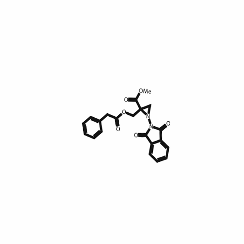 COC(=O)C1(COC(=O)Cc2ccccc2)CN1N1C(=O)c2ccccc2C1=O